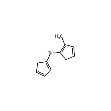 CC1=[C]([Ti][C]2=CC=CC2)CC=C1